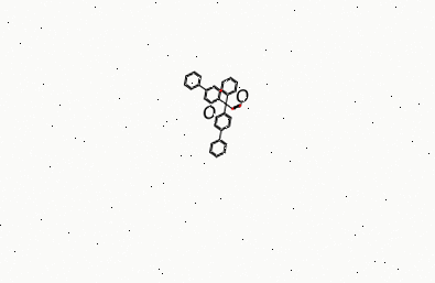 c1ccc(-c2ccc3c(c2)Oc2cc(-c4ccccc4)ccc2C32c3ccccc3Oc3ccccc32)cc1